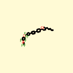 CCCCCC1CCC(C2CCC(c3ccc(-c4ccc(C(F)(F)Oc5cc(F)c(OC=C(F)F)c(F)c5)c(F)c4)cc3)CC2)OC1